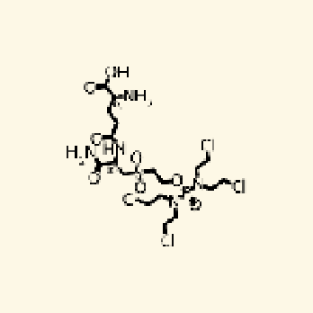 NC(=O)[C@H](CS(=O)(=O)CCOP(=O)(N(CCCl)CCCl)N(CCCl)CCCl)NC(=O)CC[C@H](N)C(=O)O